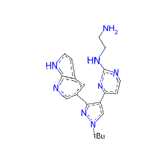 CC(C)(C)n1cc(-c2ccnc(NCCN)n2)c(-c2cnc3[nH]ccc3c2)n1